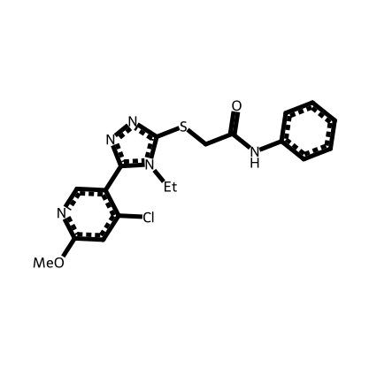 CCn1c(SCC(=O)Nc2ccccc2)nnc1-c1cnc(OC)cc1Cl